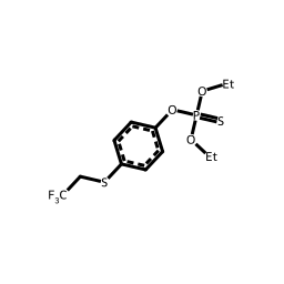 CCOP(=S)(OCC)Oc1ccc(SCC(F)(F)F)cc1